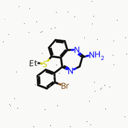 CCSc1cccc2c1C(c1ccccc1Br)=NCC(N)=N2